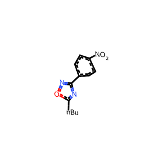 CCCCc1nc(-c2ccc([N+](=O)[O-])cc2)no1